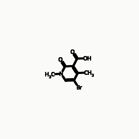 Cc1c(Br)cn(C)c(=O)c1C(=O)O